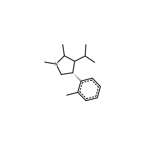 Cc1ccccc1[C@@H]1CN(C)C(C)C1C(C)C